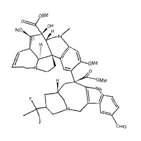 CC[C@]12C=CCN3CC[C@@]4(c5cc([C@@]6(C(=O)OC)C[C@H]7CC(C(C)(F)F)CN(Cc8c6[nH]c6ccc(C=O)cc86)C7)c(OC)cc5N(C)[C@H]4[C@@](O)(C(=O)OC)[C@@H]1OC(C)=O)[C@@H]32